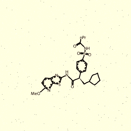 CCCC(=O)NS(=O)(=O)c1ccc([C@@H](CC2CCCC2)C(=O)Nc2nc3ccc(OC)nc3s2)cc1